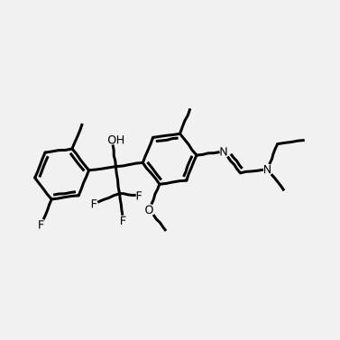 CCN(C)/C=N/c1cc(OC)c(C(O)(c2cc(F)ccc2C)C(F)(F)F)cc1C